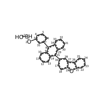 OBOc1cccc(-c2c3ccccc3c(-c3ccc4oc5ccccc5c4c3)c3ccccc23)c1